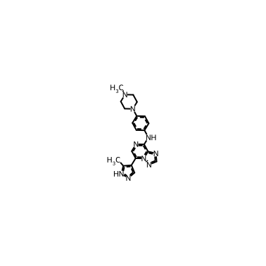 Cc1[nH]ncc1-c1cnc(Nc2ccc(N3CCN(C)CC3)cc2)c2ncnn12